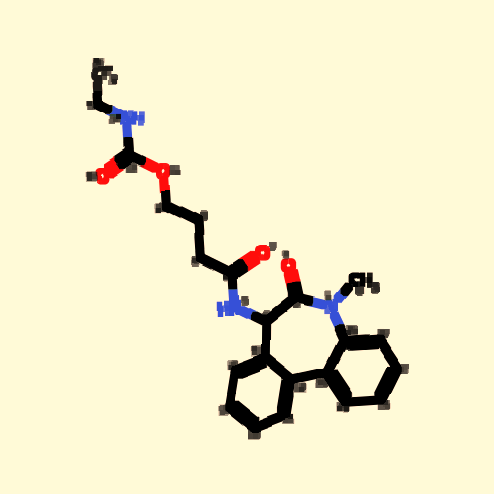 CN1C(=O)C(NC(=O)CCCOC(=O)NCC(F)(F)F)c2ccccc2-c2ccccc21